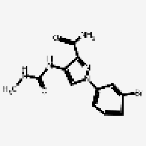 CNC(=O)Nc1cn(-c2cccc(Br)c2)nc1C(N)=O